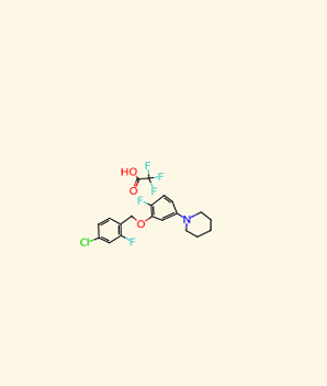 Fc1cc(Cl)ccc1COc1cc(N2CCCCC2)ccc1F.O=C(O)C(F)(F)F